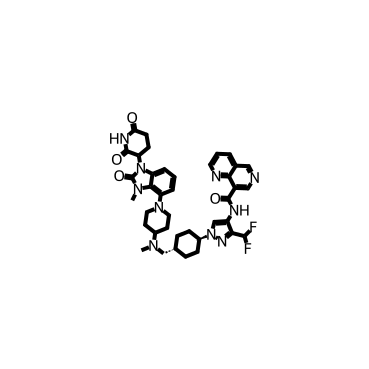 CN(C[C@H]1CC[C@H](n2cc(NC(=O)c3cncc4cccnc34)c(C(F)F)n2)CC1)C1CCN(c2cccc3c2n(C)c(=O)n3C2CCC(=O)NC2=O)CC1